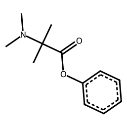 CN(C)C(C)(C)C(=O)Oc1ccccc1